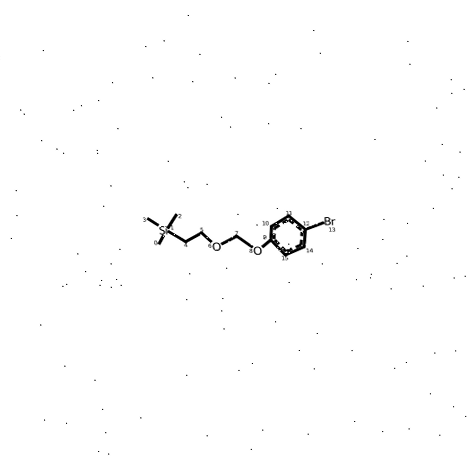 C[Si](C)(C)CCOCOc1ccc(Br)cc1